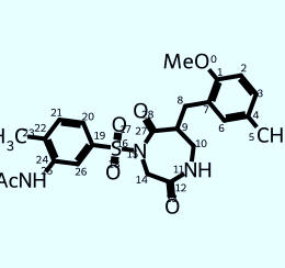 COc1ccc(C)cc1CC1CNC(=O)CN(S(=O)(=O)c2ccc(C)c(NC(C)=O)c2)C1=O